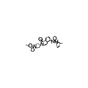 CCOC(=O)N1CCC(n2ccc3c(NC(=O)c4cccc(C)c4)cccc3c2=O)CC1